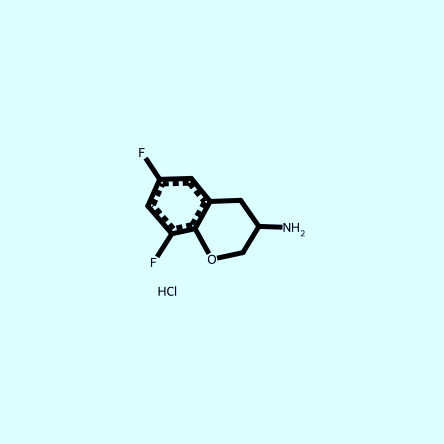 Cl.NC1COc2c(F)cc(F)cc2C1